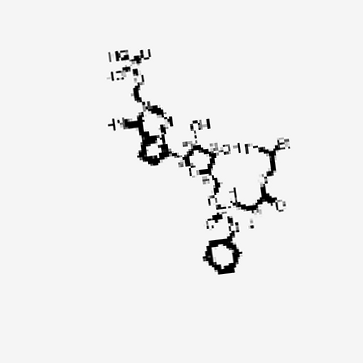 CCC(CC)COC(=O)[C@H](C)N[P@](=O)(OC[C@H]1O[C@@H](c2ccc3c(=N)n(COP(=O)(O)O)cnn23)[C@H](O)[C@@H]1O)Oc1ccccc1